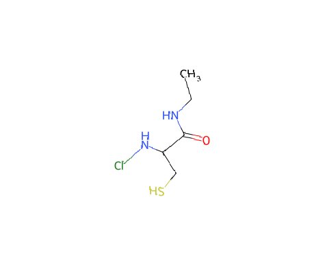 CCNC(=O)C(CS)NCl